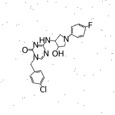 O=c1nc(NC2CN(c3ccc(F)cc3)CC2O)ncn1Cc1ccc(Cl)cc1